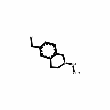 O=CBN1CCc2cc(CO)ccc2C1